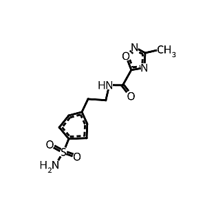 Cc1noc(C(=O)NCCc2ccc(S(N)(=O)=O)cc2)n1